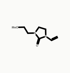 C=CN1CCN(CCOC)C1=O